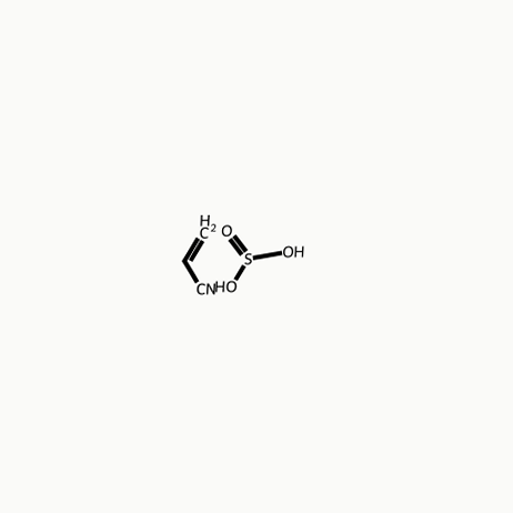 C=CC#N.O=S(O)O